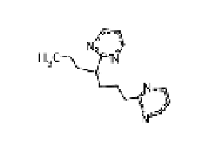 CCC[C](CCCc1ncccn1)c1ncccn1